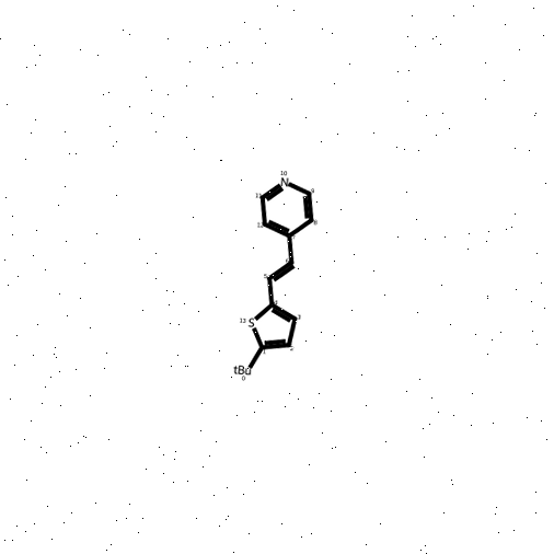 CC(C)(C)c1ccc(/C=C/c2ccncc2)s1